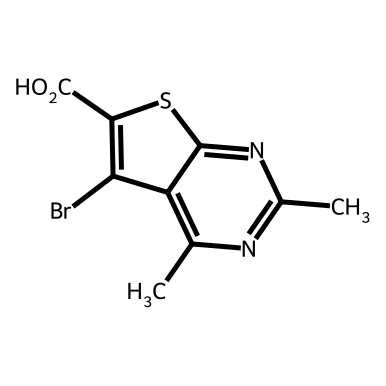 Cc1nc(C)c2c(Br)c(C(=O)O)sc2n1